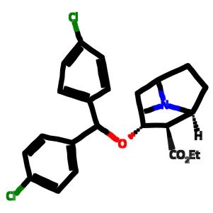 CCOC(=O)[C@H]1[C@H](OC(c2ccc(Cl)cc2)c2ccc(Cl)cc2)CC2CC[C@@H]1N2C